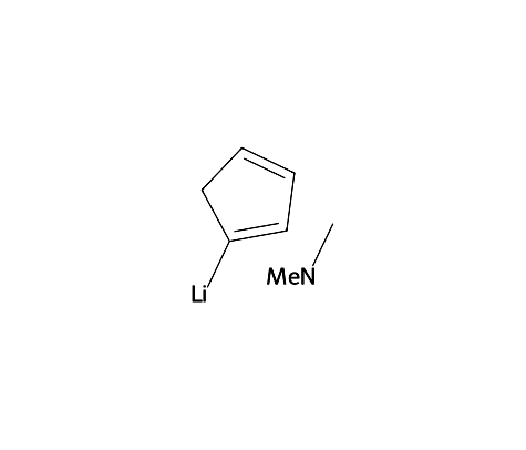 CNC.[Li][C]1=CC=CC1